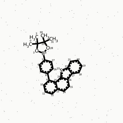 CC1(C)OB(c2ccc(-c3cccc4ccc5c6ccccc6sc5c34)cc2)OC1(C)C